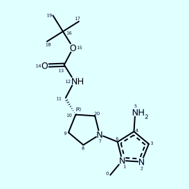 Cn1ncc(N)c1N1CC[C@H](CNC(=O)OC(C)(C)C)C1